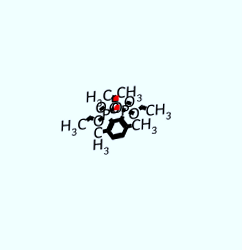 CCOP(=O)(OCC)c1c(C)ccc(C)c1P(=O)(OCC)OCC